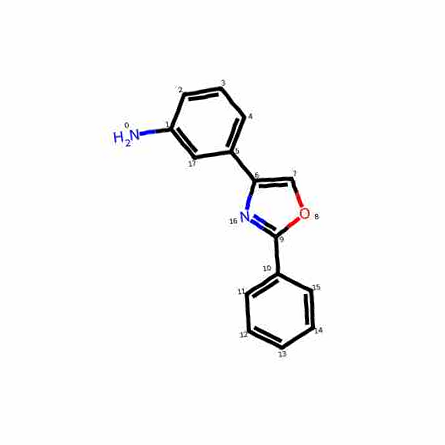 Nc1cccc(-c2coc(-c3ccccc3)n2)c1